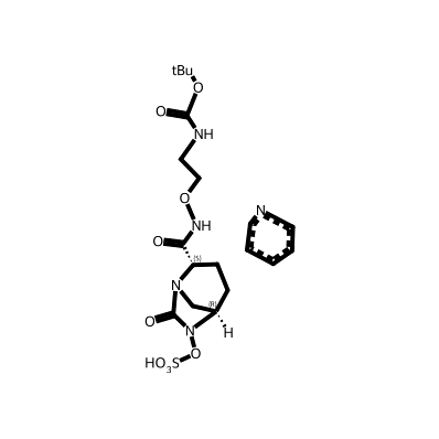 CC(C)(C)OC(=O)NCCONC(=O)[C@@H]1CC[C@@H]2CN1C(=O)N2OS(=O)(=O)O.c1ccncc1